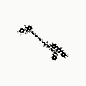 O=C(CCOCCOCCOCCNc1cccc2c1C(=O)N(C1CCC(=O)NC1=O)C2=O)NCCOCCN[C@@H](Cc1ccccc1)C(=O)N1C/C(=C\c2ccc(Cl)c(Cl)c2)C(=O)/C(=C/c2ccc(Cl)c(Cl)c2)C1